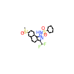 C[S+]([O-])c1ccc2c(ccc3c(C(F)F)nn(NS(=O)(=O)c4ccccc4)c32)c1